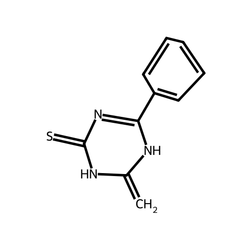 C=C1NC(=S)N=C(c2ccccc2)N1